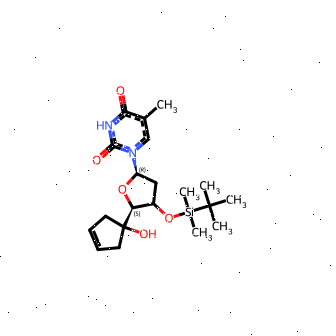 Cc1cn([C@H]2CC(O[Si](C)(C)C(C)(C)C)[C@@H](C3(O)CC=CC3)O2)c(=O)[nH]c1=O